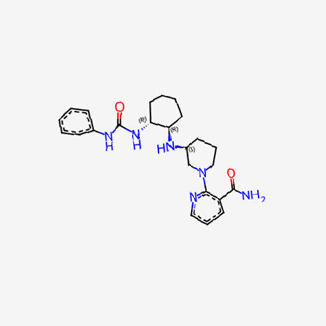 NC(=O)c1cccnc1N1CCC[C@H](N[C@@H]2CCCC[C@H]2NC(=O)Nc2ccccc2)C1